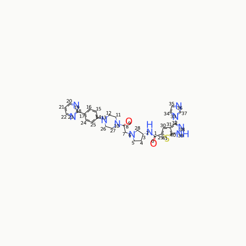 O=C(N[C@@H]1CCN(CC(=O)N2CCN(c3ccc(-c4ncccn4)cc3)CC2)C1)c1cc2c(-n3ccnc3)n[nH]c2s1